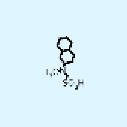 CN(CS(=O)(=O)O)C1CCC2CCCCC2C1